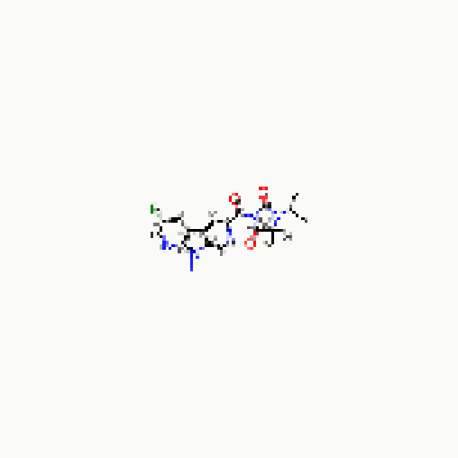 CC(C)N1C(=O)N(C(=O)c2cc3c(cn2)[nH]c2ncc(F)cc23)C(=O)C1(C)C